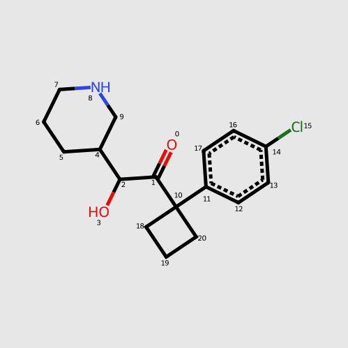 O=C(C(O)C1CCCNC1)C1(c2ccc(Cl)cc2)CCC1